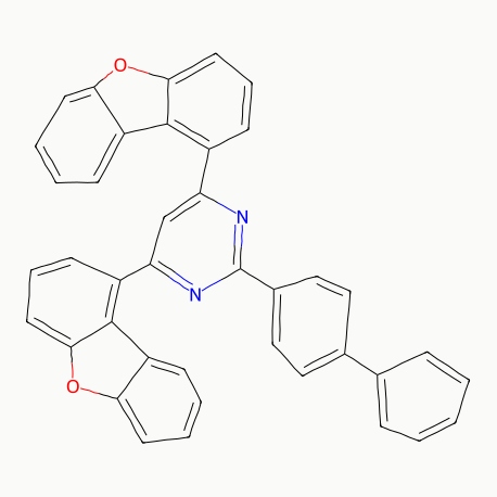 c1ccc(-c2ccc(-c3nc(-c4cccc5oc6ccccc6c45)cc(-c4cccc5oc6ccccc6c45)n3)cc2)cc1